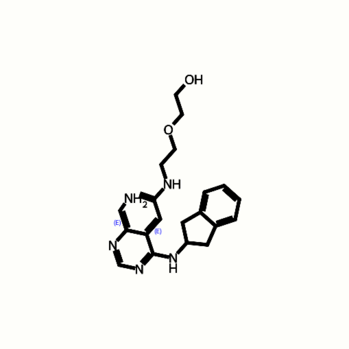 C=C(/C=c1/c(NC2Cc3ccccc3C2)ncn/c1=C/N)NCCOCCO